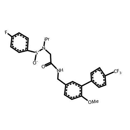 COc1ccc(CNC(=O)CN(C(C)C)[S+]([O-])c2ccc(F)cc2)cc1-c1ccc(C(F)(F)F)cc1